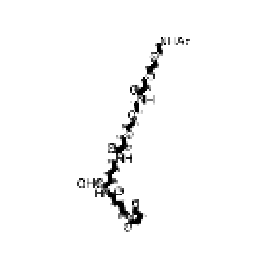 CC(=O)NCCOCCOCCC(=O)NCCOCCOCCC(=O)NCCCC[C@@H](C=O)NC(=O)CCCN1C(=O)C=CC1=O